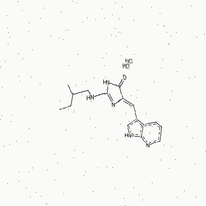 CCC(C)CNC1=NC(=Cc2c[nH]c3ncccc23)C(=O)N1.Cl.Cl